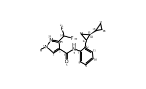 Cn1cc(C(=O)Nc2ccccc2C2C[C@H]2C2CC2)c(C(F)F)n1